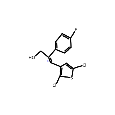 OC/C(=C/c1cc(Cl)sc1Cl)c1ccc(F)cc1